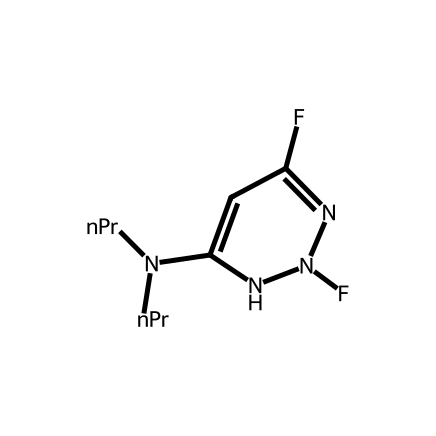 CCCN(CCC)C1=CC(F)=NN(F)N1